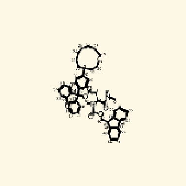 CN(C)C(=O)[C@H](CC(=O)OC(c1ccccc1)(c1ccc(C2CCCCCCCCCC2)cc1)c1ccccc1Cl)N(C)C(=O)OCC1c2ccccc2-c2ccccc21